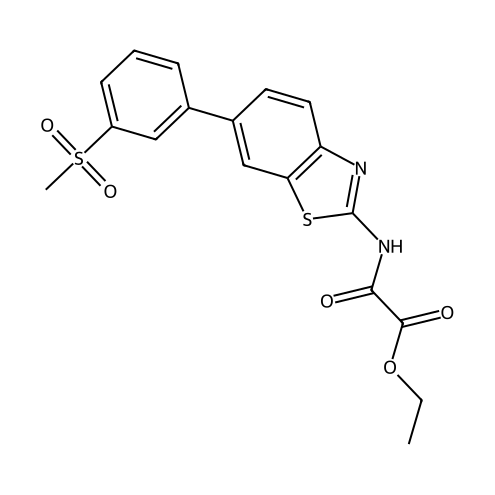 CCOC(=O)C(=O)Nc1nc2ccc(-c3cccc(S(C)(=O)=O)c3)cc2s1